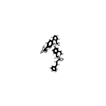 O=C(Oc1ccc2c(c1)CCN(C(=O)CCc1ccccc1)C2)c1ccccc1-c1ccc(C(F)(F)F)cc1